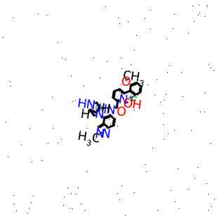 COc1cccc(F)c1-c1cccc(C(=O)Nc2ccc3nn(C)cc3c2N2C[C@H]3C[C@@H]2CN3)[n+]1O